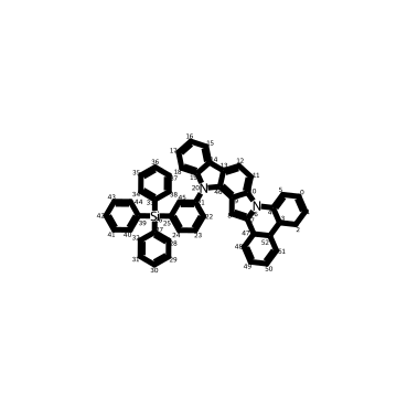 C1=CCC2C(=C1)n1c(cc3c1ccc1c4ccccc4n(-c4cccc([Si](c5ccccc5)(c5ccccc5)c5ccccc5)c4)c13)C1C=CC=CC21